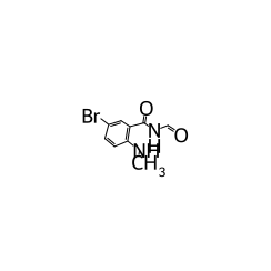 CNc1ccc(Br)cc1C(=O)NC=O